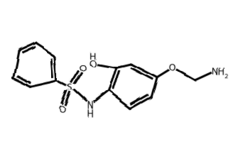 NCOc1ccc(NS(=O)(=O)c2ccccc2)c(O)c1